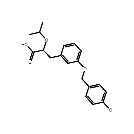 CC(C)O[C@@H](Cc1cccc(OCc2ccc(Cl)cc2)c1)C(=O)O